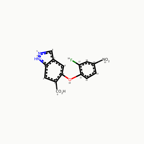 O=C(O)c1cc2[nH]ncc2cc1Oc1ccc([N+](=O)[O-])cc1F